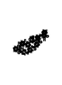 O=C(N[C@@H](C(=O)N1CCN(CC2CCN(CC(=O)N3CCN(C(=O)c4cc(Cc5n[nH]c(=O)c6ccccc56)ccc4F)CC3)CC2)CC1)C1CCCCC1)c1cc(C2CCCN(C(=O)CNC3CC3)C2)c(F)cc1F